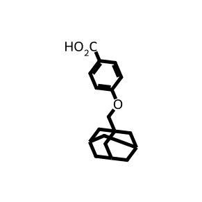 O=C(O)c1ccc(OCC23CC4CC(CC(C4)C2)C3)cc1